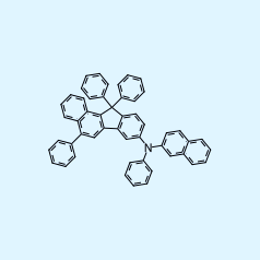 c1ccc(-c2cc3c(c4ccccc24)C(c2ccccc2)(c2ccccc2)c2ccc(N(c4ccccc4)c4ccc5ccccc5c4)cc2-3)cc1